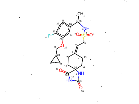 C[C@@H](NS(=O)(=O)CC=C1CCC2(CC1)NC(=O)NC2=O)c1ccc(F)c(OCC2CC2)c1